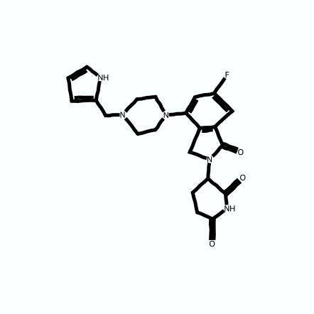 O=C1CCC(N2Cc3c(cc(F)cc3N3CCN(Cc4ccc[nH]4)CC3)C2=O)C(=O)N1